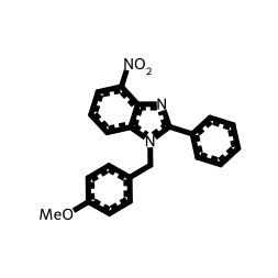 COc1ccc(Cn2c(-c3ccccc3)nc3c([N+](=O)[O-])cccc32)cc1